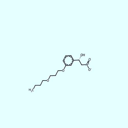 CCCCOCCCOc1cccc([C@H](O)C[N+](=O)[O-])c1